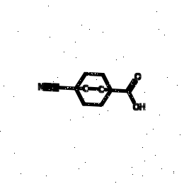 N#CC12CCC(C(=O)O)(CC1)CC2